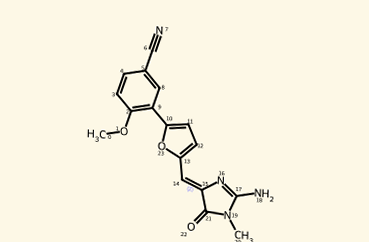 COc1ccc(C#N)cc1-c1ccc(/C=C2\N=C(N)N(C)C2=O)o1